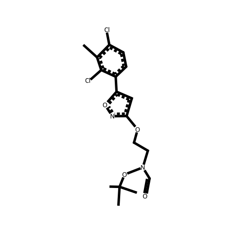 Cc1c(Cl)ccc(-c2cc(OCCN(C=O)OC(C)(C)C)no2)c1Cl